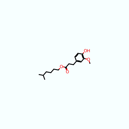 COc1cc(CCC(=O)OCCCCC(C)C)ccc1O